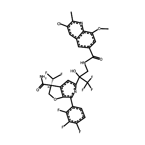 COc1cc(C(=O)NCC(O)(c2cc3c(c(-c4ccc(F)c(F)c4F)n2)OC[C@]3(C(N)=O)C(F)F)C(F)(F)F)cc2cc(Cl)c(C)nc12